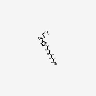 CCOC(=O)c1ccn(CCCCCCCCBr)n1